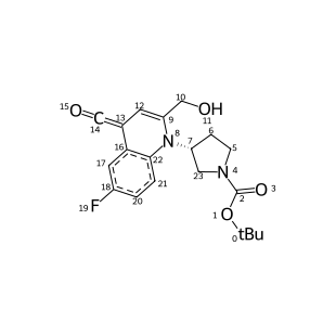 CC(C)(C)OC(=O)N1CC[C@@H](N2C(CO)=CC(=C=O)c3cc(F)ccc32)C1